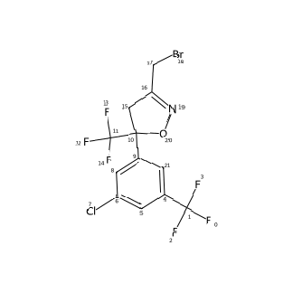 FC(F)(F)c1cc(Cl)cc(C2(C(F)(F)F)CC(CBr)=NO2)c1